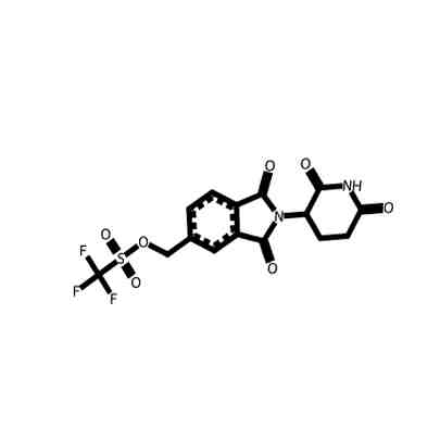 O=C1CCC(N2C(=O)c3ccc(COS(=O)(=O)C(F)(F)F)cc3C2=O)C(=O)N1